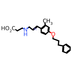 Cc1cc(OCCCc2ccccc2)ccc1/C=C/CNCCC(=O)O